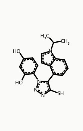 CC(C)n1ccc2c(-c3c(S)nnn3-c3ccc(O)cc3O)cccc21